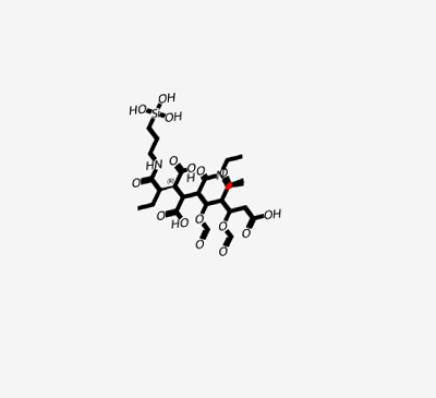 CCC(C(=O)NCCC[Si](O)(O)O)[C@@H](C(=O)O)C(C(=O)O)C(C(=O)N(CC)CC)C(OC=O)C(C(C)=O)C(CC(=O)O)OC=O